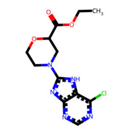 CCOC(=O)C1CN(c2nc3ncnc(Cl)c3[nH]2)CCO1